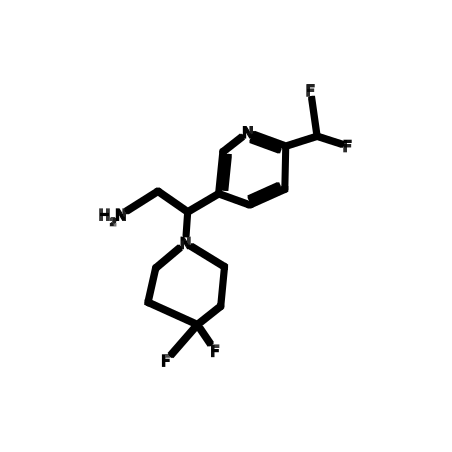 NCC(c1ccc(C(F)F)nc1)N1CCC(F)(F)CC1